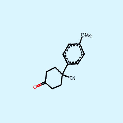 COc1ccc(C2(C#N)CCC(=O)CC2)cc1